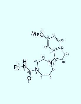 CCNC(=O)N1CCCN(C2CCc3ccc(OC)cc32)CC1